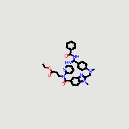 CCOC(=O)CCN(C(=O)c1ccc2c(c1)nc(CN(C)c1ccc(C(=N)NC(=O)c3ccccc3)cc1)n2C)c1ccccn1